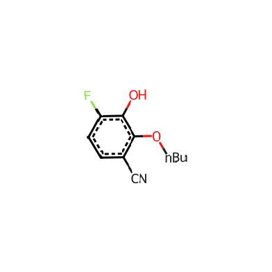 CCCCOc1c(C#N)ccc(F)c1O